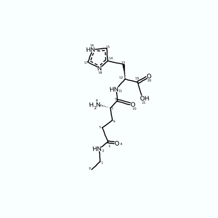 CCNC(=O)CC[C@H](N)C(=O)N[C@@H](Cc1c[nH]cn1)C(=O)O